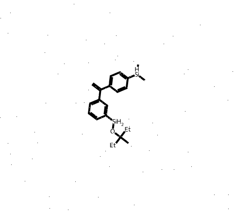 C=C(c1ccc([SiH](C)C)cc1)c1cccc([SiH2]OC(C)(CC)CC)c1